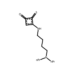 CCCN(CCC)CCCCNc1cc(=O)c1=S